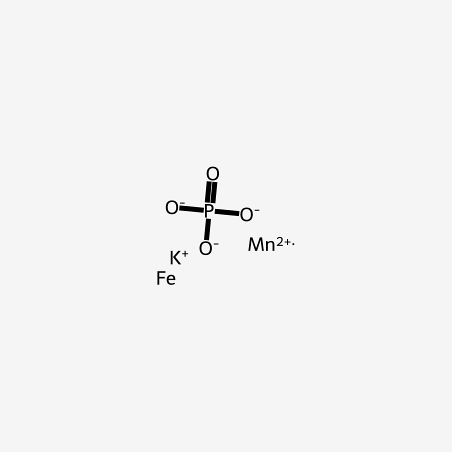 O=P([O-])([O-])[O-].[Fe].[K+].[Mn+2]